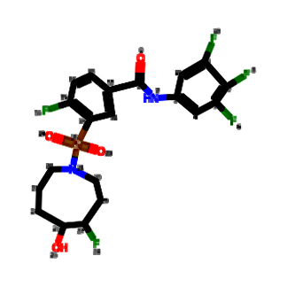 O=C(Nc1cc(F)c(F)c(F)c1)c1ccc(F)c(S(=O)(=O)N2CCCC(O)C(F)CC2)c1